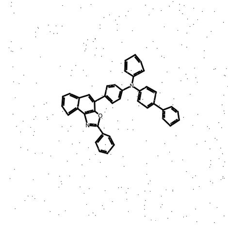 c1ccc(-c2ccc(N(c3ccccc3)c3ccc(-c4cc5ccccc5c5nc(-c6ccccc6)oc45)cc3)cc2)cc1